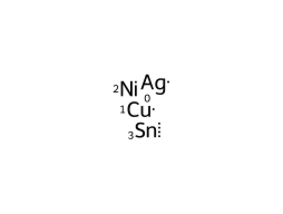 [Ag].[Cu].[Ni].[Sn]